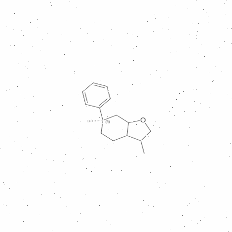 CC1COC2C[C@](C)(c3ccccc3)CCC12